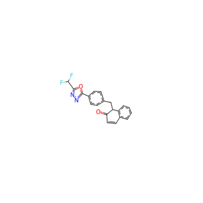 O=C1C=Cc2ccccc2C1Cc1ccc(-c2nnc(C(F)F)o2)cc1